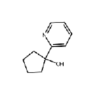 OC1(c2ccccn2)CCCC1